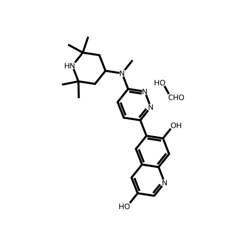 CN(c1ccc(-c2cc3cc(O)cnc3cc2O)nn1)C1CC(C)(C)NC(C)(C)C1.O=CO